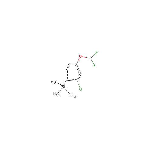 C[Si](C)(C)c1ccc(OC(F)F)cc1Cl